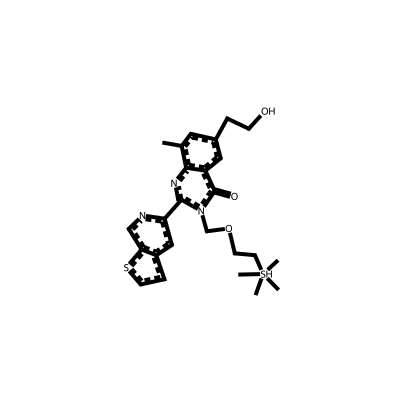 Cc1cc(CCO)cc2c(=O)n(COCC[SH](C)(C)(C)C)c(-c3cc4ccsc4cn3)nc12